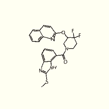 CSc1nc2cccc(C(=O)N3CCC(F)(F)C(Oc4ccc5ccccc5n4)C3)c2[nH]1